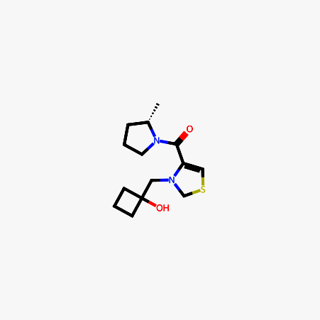 C[C@H]1CCCN1C(=O)C1=CSCN1CC1(O)CCC1